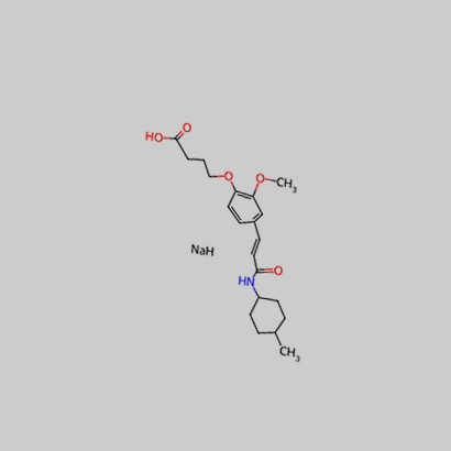 COc1cc(C=CC(=O)NC2CCC(C)CC2)ccc1OCCCC(=O)O.[NaH]